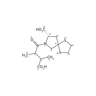 CC(C(=O)O)C(C)C(=O)N1CC2(C[C@H]1C(=O)O)SCCS2